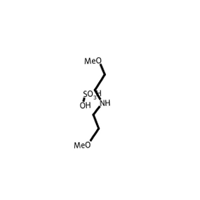 COCCNCCOC.O=S(=O)(O)O